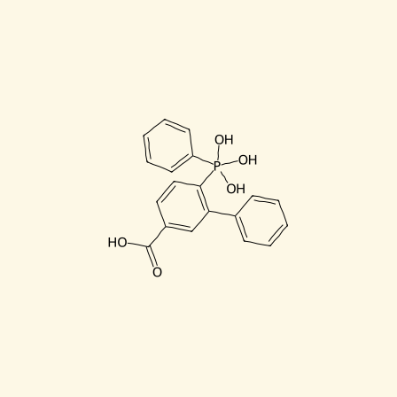 O=C(O)c1ccc(P(O)(O)(O)c2ccccc2)c(-c2ccccc2)c1